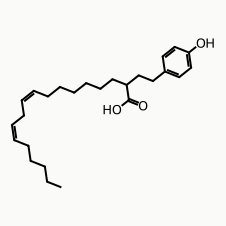 CCCCC/C=C\C/C=C\CCCCCCC(CCc1ccc(O)cc1)C(=O)O